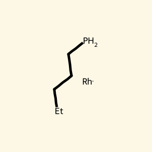 CCCCCP.[Rh]